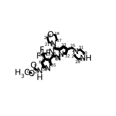 COC(=O)Nc1cc(C(F)(F)F)c(-c2nc(N3CCOCC3)c3cc(CN4CCNCC4)cn3n2)cn1